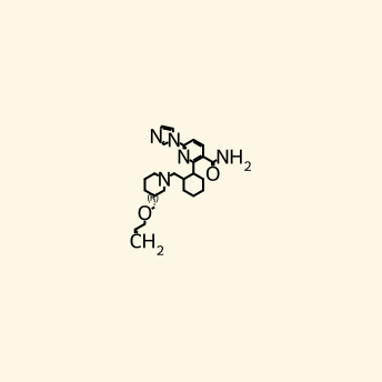 C=CCOC[C@@H]1CCCN(CC2CCCCC2c2nc(-n3ccnc3)ccc2C(N)=O)C1